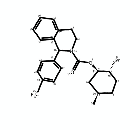 CC(C)[C@@H]1CC[C@@H](C)C[C@H]1OC(=O)N1CCc2ccccc2C1c1ccc(C(F)(F)F)cc1